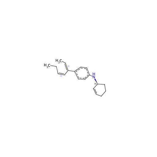 C/C=C(\C=C/CC)c1ccc(N[C@@H]2C=CCCC2)cc1